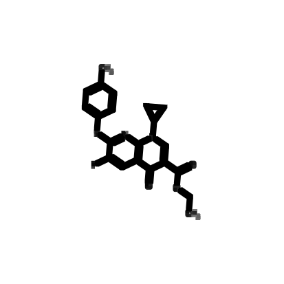 CCOC(=O)c1cn(C2CC2)c2nc(Sc3ccc(C)cc3)c(F)cc2c1=O